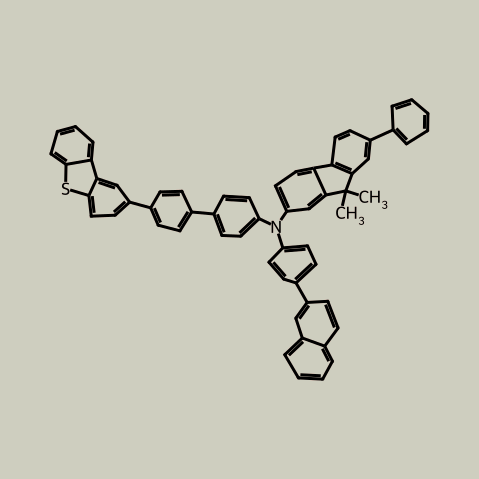 CC1(C)c2cc(-c3ccccc3)ccc2-c2ccc(N(c3ccc(-c4ccc(-c5ccc6sc7ccccc7c6c5)cc4)cc3)c3ccc(-c4ccc5ccccc5c4)cc3)cc21